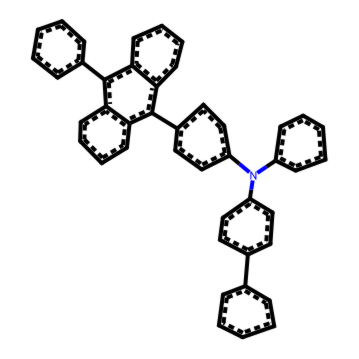 c1ccc(-c2ccc(N(c3ccccc3)c3ccc(-c4c5ccccc5c(-c5ccccc5)c5ccccc45)cc3)cc2)cc1